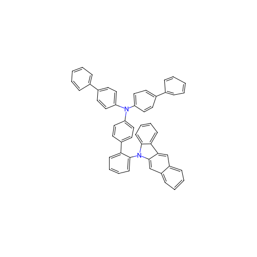 c1ccc(-c2ccc(N(c3ccc(-c4ccccc4)cc3)c3ccc(-c4ccccc4-n4c5ccccc5c5cc6ccccc6cc54)cc3)cc2)cc1